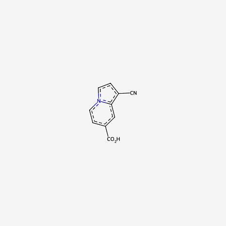 N#Cc1ccn2ccc(C(=O)O)cc12